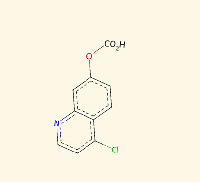 O=C(O)Oc1ccc2c(Cl)ccnc2c1